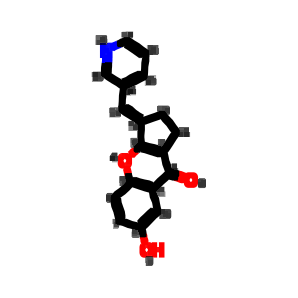 O=c1c2c(oc3ccc(O)cc13)C(=Cc1cccnc1)CC2